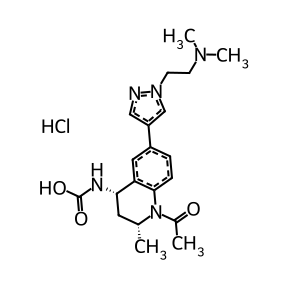 CC(=O)N1c2ccc(-c3cnn(CCN(C)C)c3)cc2[C@@H](NC(=O)O)C[C@H]1C.Cl